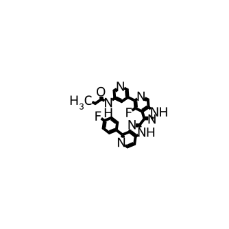 CCC(=O)Nc1cncc(-c2ncc3[nH]nc(-c4nc5c(-c6ccc(F)cc6)nccc5[nH]4)c3c2F)c1